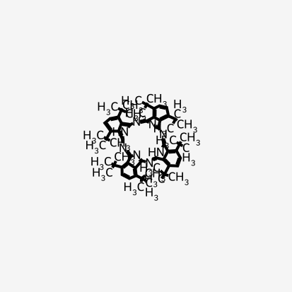 CC(C)(C)c1ccc(C(C)(C)C)c2c1-c1nc-2nc2[nH]c(nc3nc(nc4[nH]c(n1)c1c(C(C)(C)C)ccc(C(C)(C)C)c41)-c1c(C(C)(C)C)ccc(C(C)(C)C)c1-3)c1c(C(C)(C)C)ccc(C(C)(C)C)c21